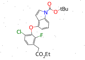 CCOC(=O)Cc1ccc(Cl)c(Oc2cccc3c2ccn3C(=O)OC(C)(C)C)c1F